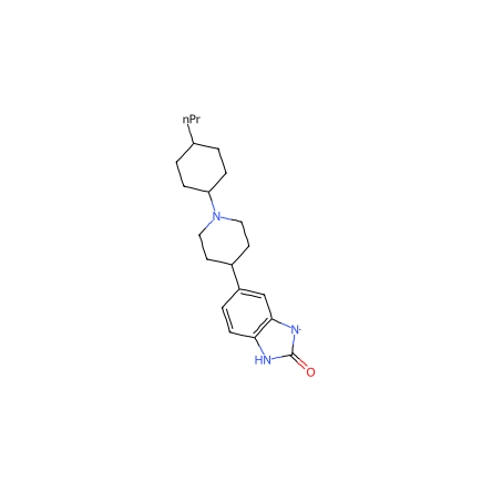 CCCC1CCC(N2CCC(c3ccc4c(c3)[N]C(=O)N4)CC2)CC1